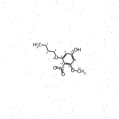 CCCCOc1cc(O)cc(OC)c1[N+](=O)[O-]